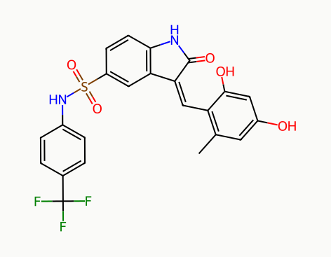 Cc1cc(O)cc(O)c1C=C1C(=O)Nc2ccc(S(=O)(=O)Nc3ccc(C(F)(F)F)cc3)cc21